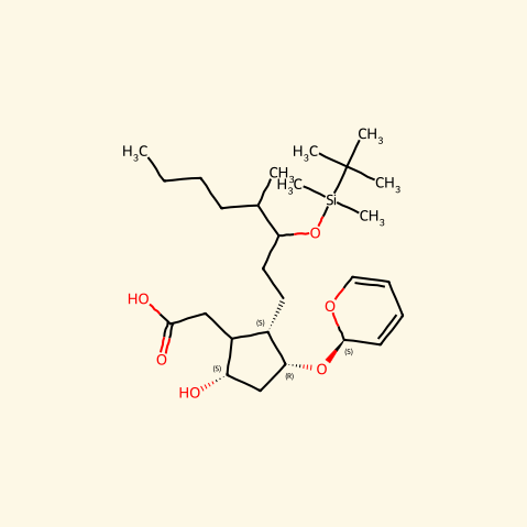 CCCCC(C)C(CC[C@H]1C(CC(=O)O)[C@@H](O)C[C@H]1O[C@@H]1C=CC=CO1)O[Si](C)(C)C(C)(C)C